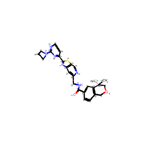 C[C@@]1(C#N)COCc2ccc(C(=O)NCc3cc4nc(-c5ccnc(N6CCC6)n5)sc4cn3)cc21